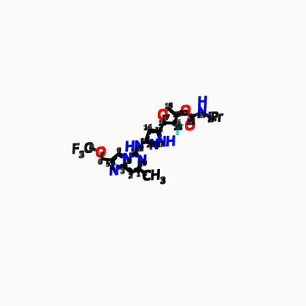 Cc1cc2nc(COC(F)(F)F)cn2c(Nc2cc([C@H]3OC[C@@H](OC(=O)NC(C)C)[C@@H]3F)[nH]n2)n1